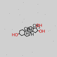 C[C@]12CCC(O)CC1CC[C@@H]1[C@H]2CC[C@]2(C)C(O)C(O)C[C@@H]12